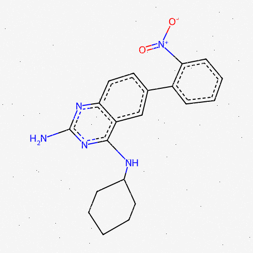 Nc1nc(NC2CCCCC2)c2cc(-c3ccccc3[N+](=O)[O-])ccc2n1